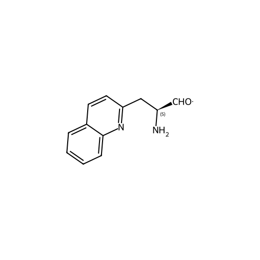 N[C@H]([C]=O)Cc1ccc2ccccc2n1